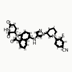 N#Cc1ccc(N2CCCC(n3cc(Nc4ccc5c6c(cccc46)C(=O)N5C4CCC(=O)NC4=O)cn3)C2)c(F)c1